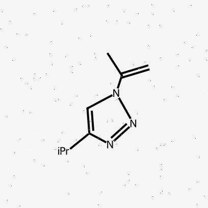 C=C(C)n1cc(C(C)C)nn1